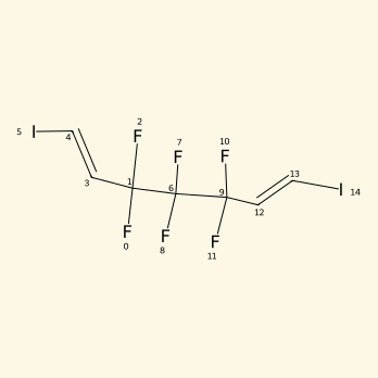 FC(F)(C=CI)C(F)(F)C(F)(F)C=CI